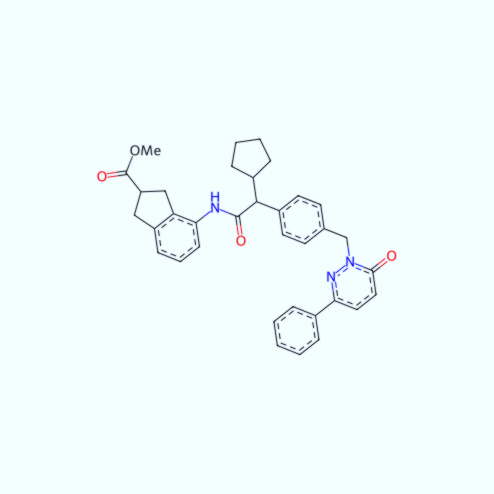 COC(=O)C1Cc2cccc(NC(=O)C(c3ccc(Cn4nc(-c5ccccc5)ccc4=O)cc3)C3CCCC3)c2C1